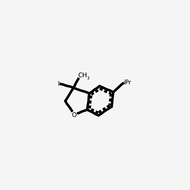 CC(C)c1ccc2c(c1)C(C)(I)CO2